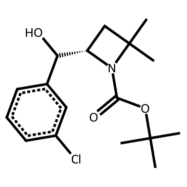 CC(C)(C)OC(=O)N1[C@H](C(O)c2cccc(Cl)c2)CC1(C)C